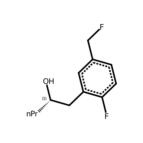 CCC[C@H](O)Cc1cc(CF)ccc1F